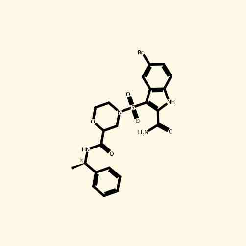 C[C@@H](NC(=O)C1CN(S(=O)(=O)c2c(C(N)=O)[nH]c3ccc(Br)cc23)CCO1)c1ccccc1